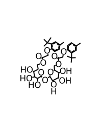 Cc1ccc(OCC(=O)OCC2OC(OC3OC(COC(=O)COc4ccc(C)cc4C(C)(C)C)C(O)C(O)C3O)C(O)C(O)C2O)c(C(C)(C)C)c1